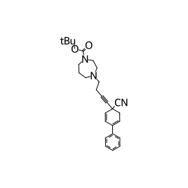 CC(C)(C)OC(=O)N1CCCN(CCC#CC2(C#N)C=CC(c3ccccc3)=CC2)CC1